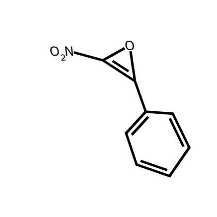 O=[N+]([O-])C1=C(c2ccccc2)O1